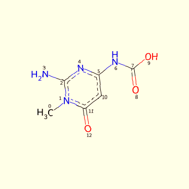 Cn1c(N)nc(NC(=O)O)cc1=O